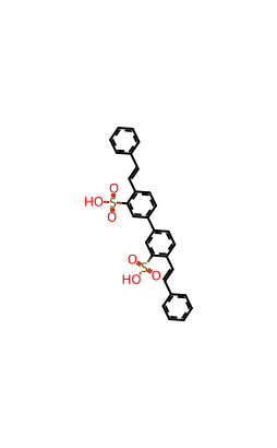 O=S(=O)(O)c1cc(-c2ccc(/C=C/c3ccccc3)c(S(=O)(=O)O)c2)ccc1/C=C/c1ccccc1